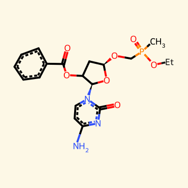 CCOP(C)(=O)CO[C@@H]1CC(OC(=O)c2ccccc2)[C@H](n2ccc(N)nc2=O)O1